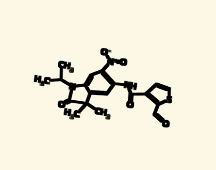 CC(C)N1C(=O)C(C)(C)c2cc(NC(=O)c3ccsc3C=O)c([N+](=O)[O-])cc21